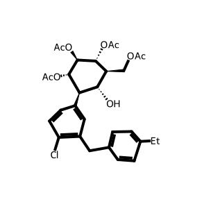 CCc1ccc(Cc2cc([C@@H]3[C@@H](O)[C@H](COC(C)=O)[C@@H](OC(C)=O)[C@H](OC(C)=O)[C@H]3OC(C)=O)ccc2Cl)cc1